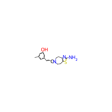 Cc1cc(O)cc(/C=C/CN2CCc3nc(N)sc3CC2)c1